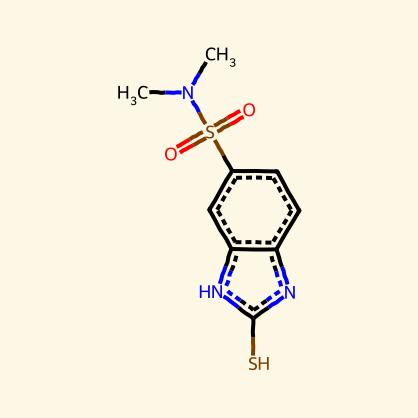 CN(C)S(=O)(=O)c1ccc2nc(S)[nH]c2c1